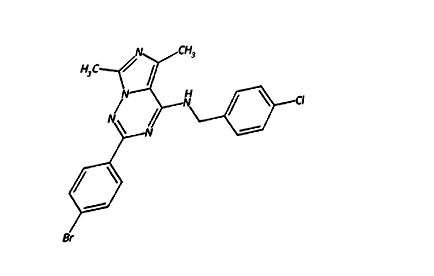 Cc1nc(C)n2nc(-c3ccc(Br)cc3)nc(NCc3ccc(Cl)cc3)c12